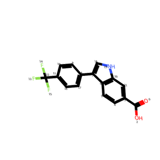 O=C(O)c1ccc2c(-c3ccc(C(F)(F)F)cc3)c[nH]c2c1